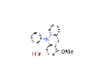 Br.COc1cccc2c1Cc1ccccc1N2c1ccccc1